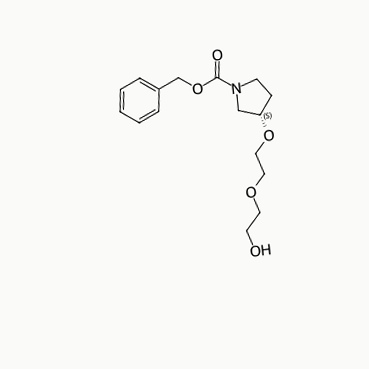 O=C(OCc1ccccc1)N1CC[C@H](OCCOCCO)C1